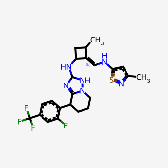 Cc1cc(N/C=C2\C(C)CC2NC2N=C3C(c4ccc(C(F)(F)F)cc4F)CCCN3N2)sn1